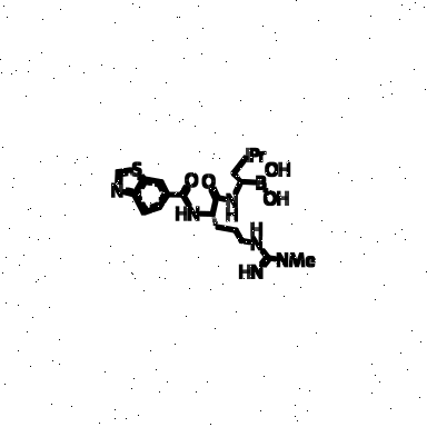 CNC(=N)NCCC[C@H](NC(=O)c1ccc2ncsc2c1)C(=O)N[C@@H](CC(C)C)B(O)O